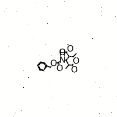 COC(=O)C1C(C)OC(=O)C(C)C1NC(=O)OCc1ccccc1